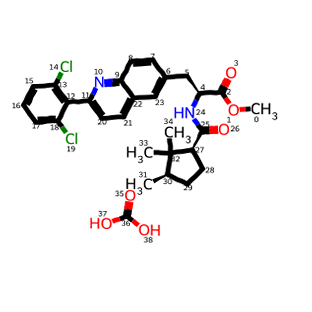 COC(=O)[C@H](Cc1ccc2nc(-c3c(Cl)cccc3Cl)ccc2c1)NC(=O)[C@H]1CC[C@@H](C)C1(C)C.O=C(O)O